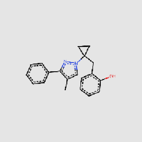 Cc1cn(C2(Cc3ccccc3O)CC2)nc1-c1ccccc1